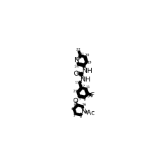 CC(=O)N1CCC[C@@H](Oc2cc(F)cc(CNC(=O)Nc3ccc(C)nc3)c2)C1